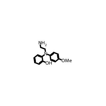 COc1ccc(N(CCN)c2ccccc2O)cc1